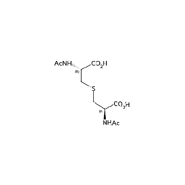 CC(=O)N[C@@H](CSC[C@H](NC(C)=O)C(=O)O)C(=O)O